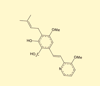 COc1cccnc1/C=C/c1cc(OC)c(CC=C(C)C)c(O)c1C(=O)O